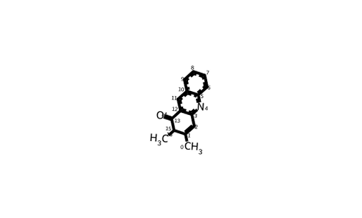 CC1=Cc2nc3ccccc3cc2C(=O)C1C